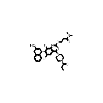 CCC(=O)N1CCN(c2nc(OCCC(=O)N(C)C)nc3c(F)c([C@H]4C=C(O)Cc5ccccc54)c(Cl)cc23)CC1